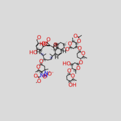 COC(=O)N[C@H]1[C@@H](C)O[C@@H](O[C@H]2C/C=C(\C)[C@@H]3C=C[C@@H]4C(O[C@H]5C[C@@H](O[C@H]6CCC(O[C@H]7C[C@@H](O)C(O[C@H]8CC[C@@H](O)[C@H](C)O8)[C@H](C)O7)[C@H](C)O6)[C@@H](OC(C)=O)[C@H](C)O5)[C@@H](C)C[C@H](C)[C@H]4[C@]3(C)C(=O)C3=C(O)C4(CC(C=O)=C[C@H](O)[C@H]4/C=C/2C)OC3=O)CC1(C)[N+](=O)[O-]